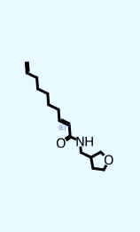 C=CCCCCC/C=C/C(=O)NCC1CCOC1